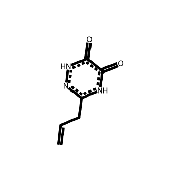 C=CCc1n[nH]c(=O)c(=O)[nH]1